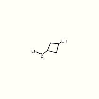 CCNC1CC(O)C1